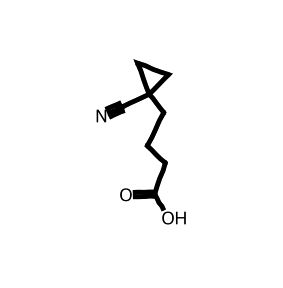 N#CC1(CCCC(=O)O)CC1